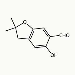 CC1(C)Cc2cc(O)c(C=O)cc2O1